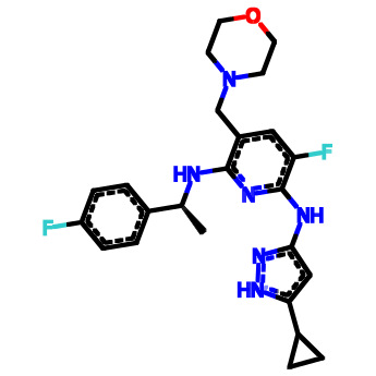 C[C@H](Nc1nc(Nc2cc(C3CC3)[nH]n2)c(F)cc1CN1CCOCC1)c1ccc(F)cc1